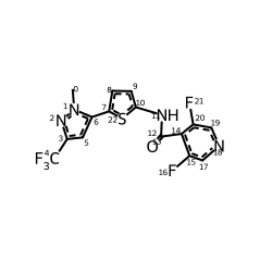 Cn1nc(C(F)(F)F)cc1-c1ccc(NC(=O)c2c(F)cncc2F)s1